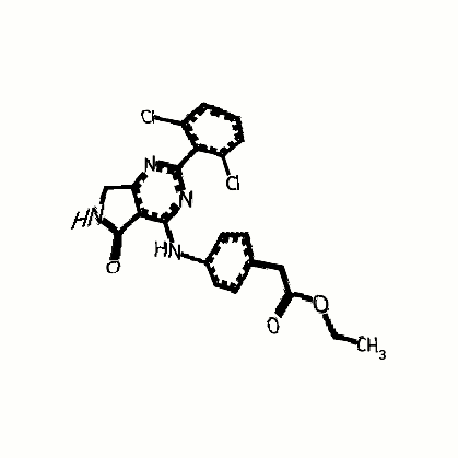 CCOC(=O)Cc1ccc(Nc2nc(-c3c(Cl)cccc3Cl)nc3c2C(=O)NC3)cc1